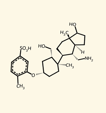 Cc1ccc(S(=O)(=O)O)cc1O[C@H]1CC[C@](C)([C@H]2CC[C@]3(C)C(O)CC[C@H]3[C@@H]2CN)[C@@H](CO)C1